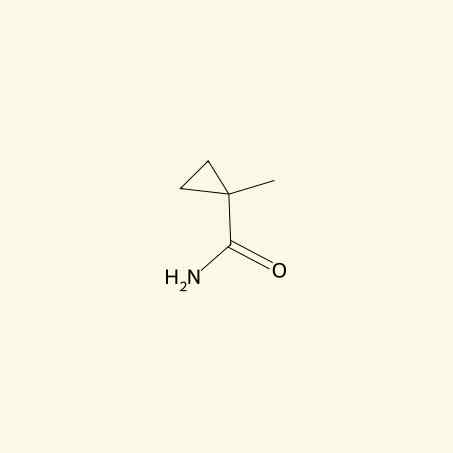 CC1(C(N)=O)CC1